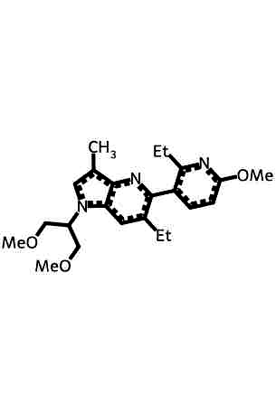 CCc1cc2c(nc1-c1ccc(OC)nc1CC)c(C)cn2C(COC)COC